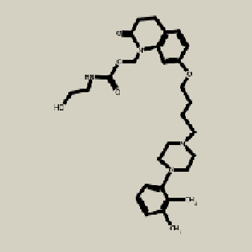 Cc1cccc(N2CCN(CCCCOc3ccc4c(c3)N(COC(=O)NCCO)C(=O)CC4)CC2)c1C